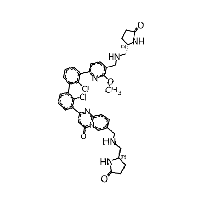 COc1nc(-c2cccc(-c3cccc(-c4cc(=O)n5cc(CNC[C@H]6CCC(=O)N6)ccc5n4)c3Cl)c2Cl)ccc1CNC[C@@H]1CCC(=O)N1